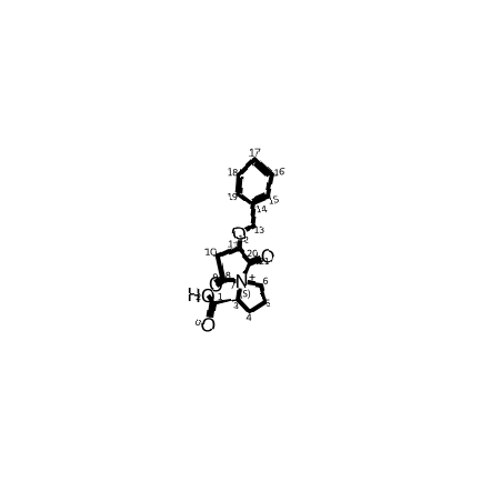 O=C(O)[C@@H]1CCC[N+]12C(=O)CC(OCc1ccccc1)C2=O